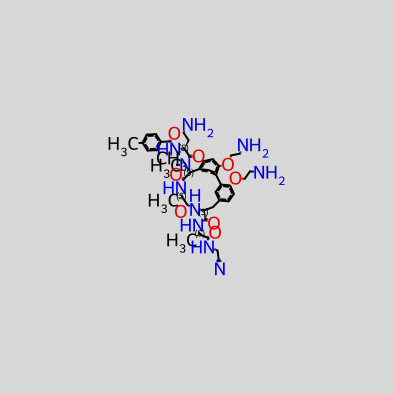 Cc1ccc(C(=O)N[C@@H](CCN)C(=O)N(C)[C@@H]2C(=O)N[C@@H](C)C(=O)N[C@H](C(=O)N[C@@H](C)C(=O)NCC#N)Cc3ccc(OCCN)c(c3)-c3cc2ccc3OCCN)c(C)c1